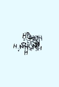 CC(C)c1cc(-c2nnc(S)n2-c2ccc(NC(N)=O)cc2)c(O)cc1O